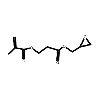 C=C(C)C(=O)OCCC(=O)OCC1CO1